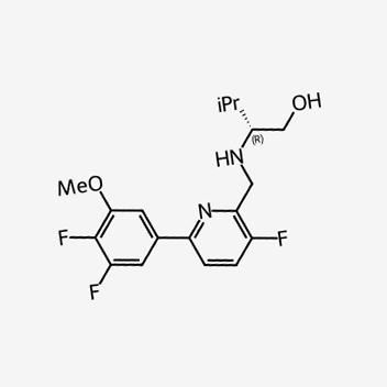 COc1cc(-c2ccc(F)c(CN[C@@H](CO)C(C)C)n2)cc(F)c1F